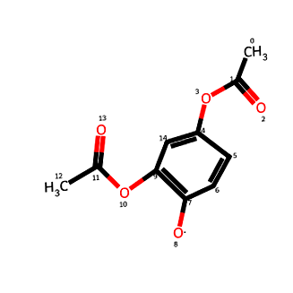 CC(=O)Oc1ccc([O])c(OC(C)=O)c1